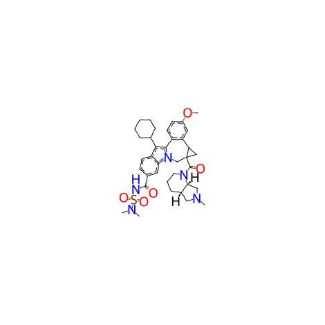 COc1ccc2c(c1)C1CC1(C(=O)N1CCC[C@H]3CN(C)C[C@H]31)Cn1c-2c(C2CCCCC2)c2ccc(C(=O)NS(=O)(=O)N(C)C)cc21